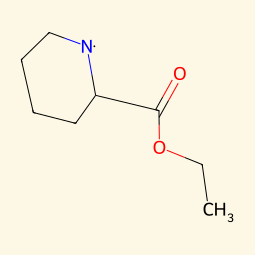 CCOC(=O)C1CCCC[N]1